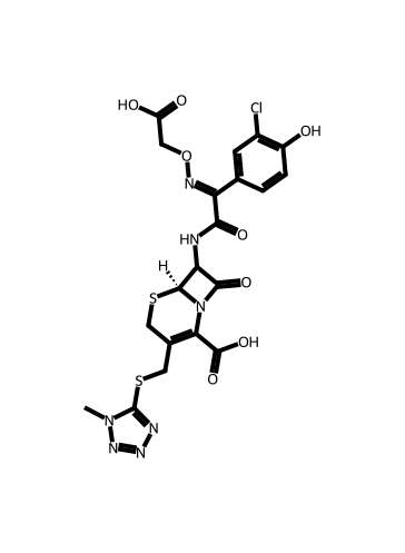 Cn1nnnc1SCC1=C(C(=O)O)N2C(=O)C(NC(=O)C(=NOCC(=O)O)c3ccc(O)c(Cl)c3)[C@@H]2SC1